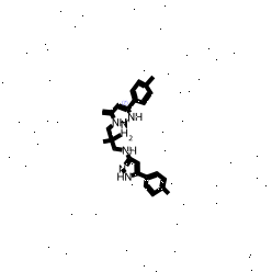 C=C(/C=C(\NN)c1ccc(C)cc1)NCC(C)(C)CNc1cc(-c2ccc(C)cc2)[nH]n1